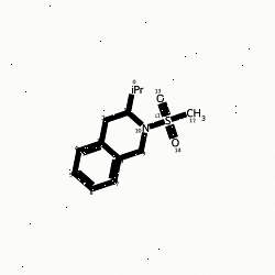 CC(C)C1Cc2ccccc2CN1S(C)(=O)=O